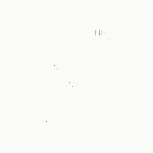 N#CCn1cc(N)cn1